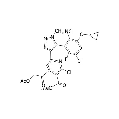 COC(=O)c1c(C(=O)COC(C)=O)cc(-c2cnn(C)c2-c2c(F)c(Cl)cc(OC3CC3)c2C#N)nc1Cl